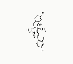 CC(Cc1ccc(F)cc1)C(C)(O)n1cc(-c2ccc(F)cc2F)nn1